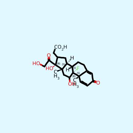 C[C@]12C=CC(=O)C=C1CC[C@H]1[C@@H]3CC(CC(=O)O)[C@](O)(C(=O)CO)[C@@]3(C)CC(O)[C@@]12F